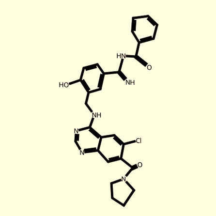 N=C(NC(=O)c1ccccc1)c1ccc(O)c(CNc2ncnc3cc(C(=O)N4CCCC4)c(Cl)cc23)c1